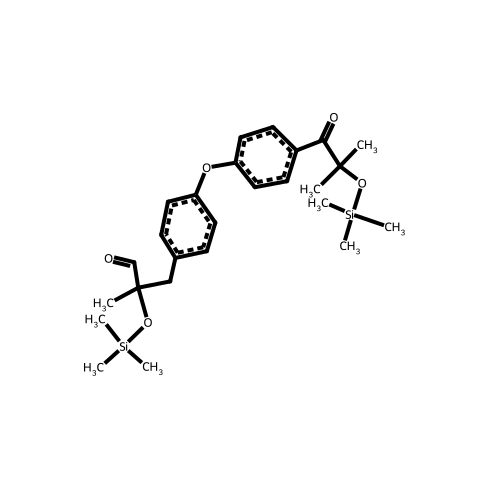 CC(C=O)(Cc1ccc(Oc2ccc(C(=O)C(C)(C)O[Si](C)(C)C)cc2)cc1)O[Si](C)(C)C